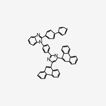 c1ccc(-c2ccc(-c3nc4ccccc4n3-c3ccc(-c4nc(-c5cc6ccccc6c6ccccc56)cc(-c5cc6ccccc6c6ccccc56)n4)cc3)cc2)cc1